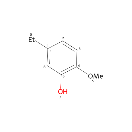 CCc1ccc(OC)c(O)c1